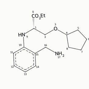 CCOC(=O)[C@H](COC1CCCC1)Nc1ccccc1CN